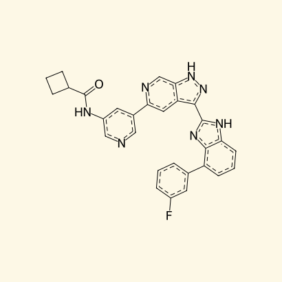 O=C(Nc1cncc(-c2cc3c(-c4nc5c(-c6cccc(F)c6)cccc5[nH]4)n[nH]c3cn2)c1)C1CCC1